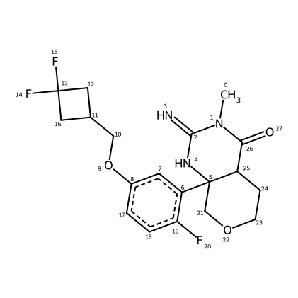 CN1C(=N)NC2(c3cc(OCC4CC(F)(F)C4)ccc3F)COCCC2C1=O